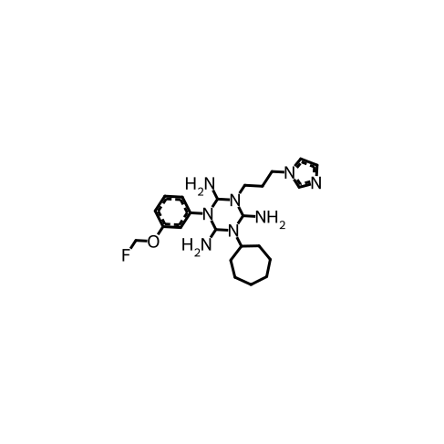 NC1N(CCCn2ccnc2)C(N)N(C2CCCCCC2)C(N)N1c1cccc(OCF)c1